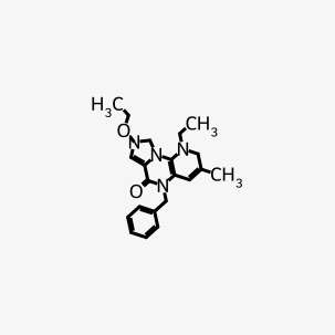 CCON1C=C2C(=O)N(Cc3ccccc3)C3=C(N(CC)CC(C)=C3)N2C1